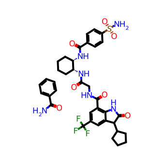 NC(=O)c1ccccc1.NS(=O)(=O)c1ccc(C(=O)N[C@H]2CCCC[C@H]2NC(=O)CNC(=O)c2cc(C(F)(F)F)cc3c2NC(=O)C3C2CCCC2)cc1